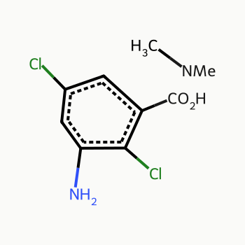 CNC.Nc1cc(Cl)cc(C(=O)O)c1Cl